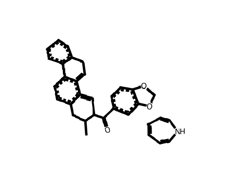 C1=CC=CNC=C1.CC1Cc2ccc3c(c2=CC1C(=O)c1ccc2c(c1)OCO2)=CCc1ccccc1-3